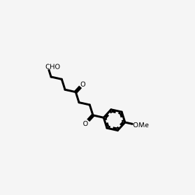 COc1ccc(C(=O)CCC(=O)CCCC=O)cc1